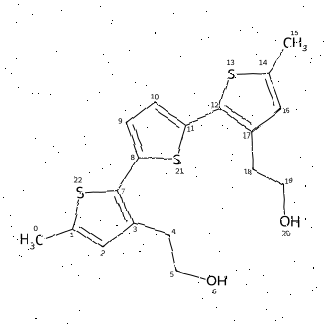 Cc1cc(CCO)c(-c2ccc(-c3sc(C)cc3CCO)s2)s1